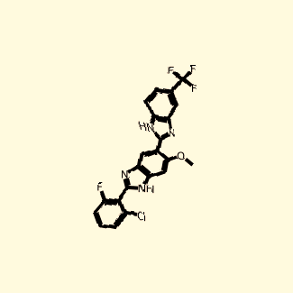 COc1cc2[nH]c(-c3c(F)cccc3Cl)nc2cc1-c1nc2cc(C(F)(F)F)ccc2[nH]1